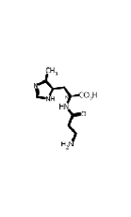 CC1N=CNC1C[C@H](NC(=O)CCN)C(=O)O